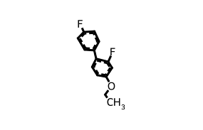 CCOc1ccc(-c2ccc(F)cc2)c(F)c1